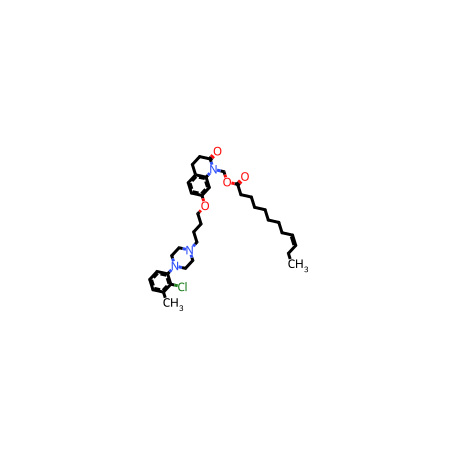 CC/C=C\CCCCCCCC(=O)OCN1C(=O)CCc2ccc(OCCCCN3CCN(c4cccc(C)c4Cl)CC3)cc21